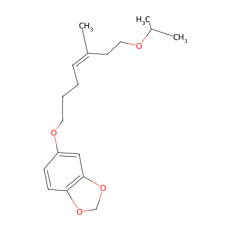 CC(=CCCCOc1ccc2c(c1)OCO2)CCOC(C)C